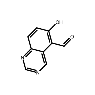 O=Cc1c(O)ccc2ncncc12